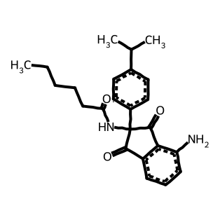 CCCCCC(=O)NC1(c2[c]cc(C(C)C)cc2)C(=O)c2cccc(N)c2C1=O